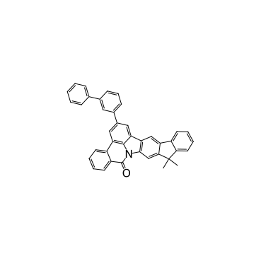 CC1(C)c2ccccc2-c2cc3c4cc(-c5cccc(-c6ccccc6)c5)cc5c6ccccc6c(=O)n(c3cc21)c54